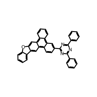 c1ccc(-c2nc(-c3ccccc3)nc(-c3ccc4c(c3)c3ccccc3c3cc5oc6ccccc6c5cc43)n2)cc1